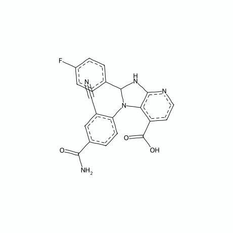 N#Cc1cc(C(N)=O)ccc1N1c2c(C(=O)O)ccnc2NC1c1ccc(F)cc1